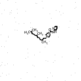 CC(C)=CCC/C(C)=C/CC/C(C)=C/CN1CCN(C(=O)Nc2ccccn2)CC1